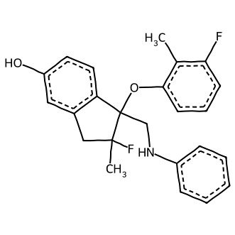 Cc1c(F)cccc1OC1(CNc2ccccc2)c2ccc(O)cc2CC1(C)F